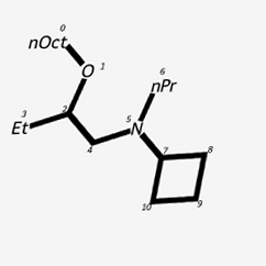 CCCCCCCCOC(CC)CN(CCC)C1CCC1